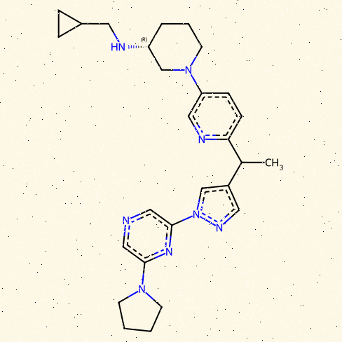 CC(c1cnn(-c2cncc(N3CCCC3)n2)c1)c1ccc(N2CCC[C@@H](NCC3CC3)C2)cn1